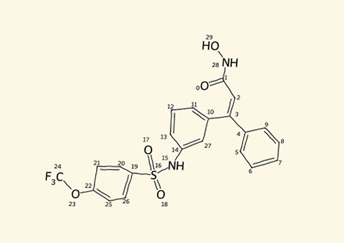 O=C(C=C(c1ccccc1)c1cccc(NS(=O)(=O)c2ccc(OC(F)(F)F)cc2)c1)NO